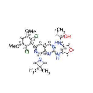 C=CC(O)N[C@H]1COC[C@H]1Nc1ncc2cc(-c3c(Cl)c(OC)cc(OC)c3Cl)nc(N3CC(C)(C)C3)c2n1